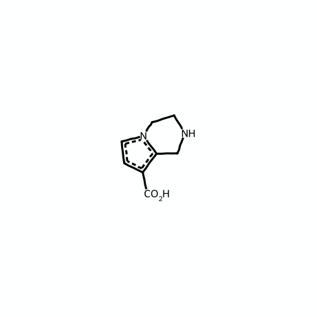 O=C(O)c1ccn2c1CNCC2